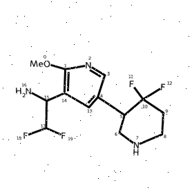 COc1ncc(C2CNCCC2(F)F)cc1C(N)C(F)F